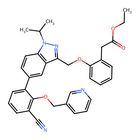 CCOC(=O)Cc1ccccc1OCc1nn(C(C)C)c2ccc(-c3cccc(C#N)c3OCc3cccnc3)cc12